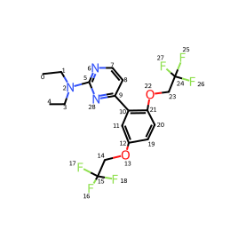 CCN(CC)c1nccc(-c2cc(OCC(F)(F)F)ccc2OCC(F)(F)F)n1